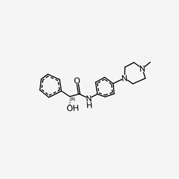 CN1CCN(c2ccc(NC(=O)[C@H](O)c3ccccc3)cc2)CC1